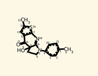 Cc1ccc(N2CCC3(O)C(=O)c4cc(C)sc4N=C23)cc1